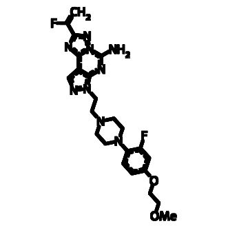 C=C(F)c1nc2c3cnn(CCN4CCN(c5ccc(OCCOC)cc5F)CC4)c3nc(N)n2n1